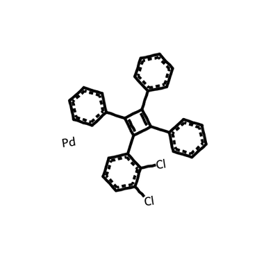 Clc1cccc(C2=C(c3ccccc3)C(c3ccccc3)=C2c2ccccc2)c1Cl.[Pd]